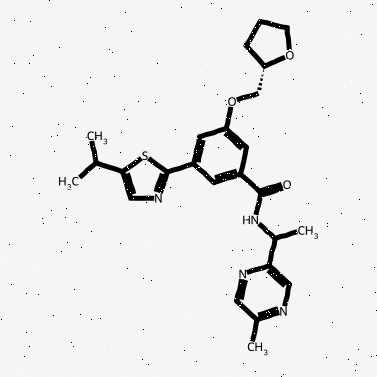 Cc1cnc(C(C)NC(=O)c2cc(OC[C@@H]3CCCO3)cc(-c3ncc(C(C)C)s3)c2)cn1